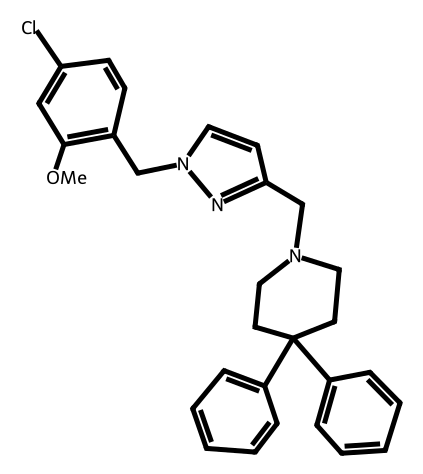 COc1cc(Cl)ccc1Cn1ccc(CN2CCC(c3ccccc3)(c3ccccc3)CC2)n1